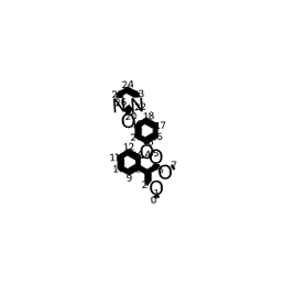 COC=C(C(=O)OC)c1ccccc1Oc1cccc(Oc2ncccn2)c1